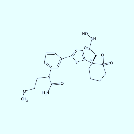 COCCN(C(N)=O)c1cccc(-c2ccc([C@@]3(CC(=O)NO)CCCCS3(=O)=O)s2)c1